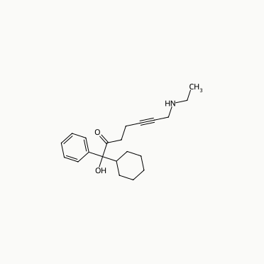 CCNCC#CCCC(=O)C(O)(c1ccccc1)C1CCCCC1